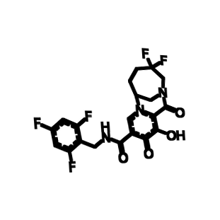 O=C(NCc1c(F)cc(F)cc1F)c1cn2c(c(O)c1=O)C(=O)N1CC2CCC(F)(F)C1